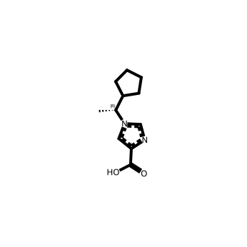 C[C@H](C1CCCC1)n1cnc(C(=O)O)c1